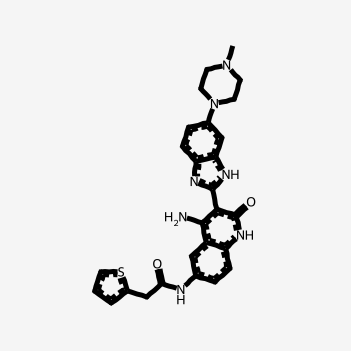 CN1CCN(c2ccc3nc(-c4c(N)c5cc(NC(=O)Cc6cccs6)ccc5[nH]c4=O)[nH]c3c2)CC1